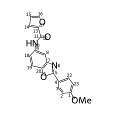 COc1ccc(-c2nc3cc(NC(=O)c4ccco4)ccc3o2)cc1